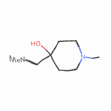 CNCC1(O)CCN(C)CC1